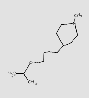 CC(C)OCCCC1CCN(C)CC1